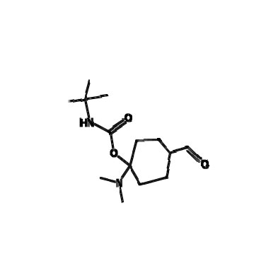 CN(C)C1(OC(=O)NC(C)(C)C)CCC(C=O)CC1